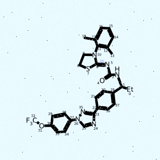 CCC(NC(=O)/N=C1\SCCN1c1c(C)cccc1C)c1ccc(-c2ncn(-c3ccc(OC(F)(F)F)cc3)n2)cc1